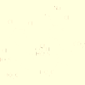 O=C(O)c1ccc(C(=O)O)c(S(=O)(=O)O)c1-c1cc(Cl)c(Cl)cc1Cl.O=C(O)c1ccc(C(=O)O)c(S(=O)(=O)O)c1-c1cc(Cl)c(Cl)cc1Cl.[Na]